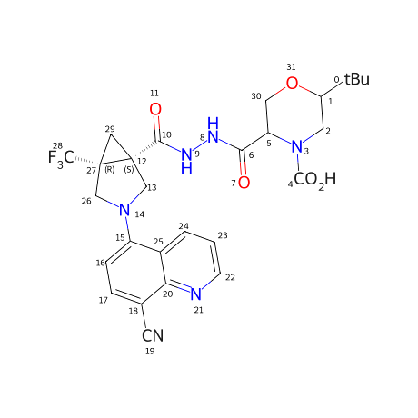 CC(C)(C)C1CN(C(=O)O)C(C(=O)NNC(=O)[C@]23CN(c4ccc(C#N)c5ncccc45)C[C@@]2(C(F)(F)F)C3)CO1